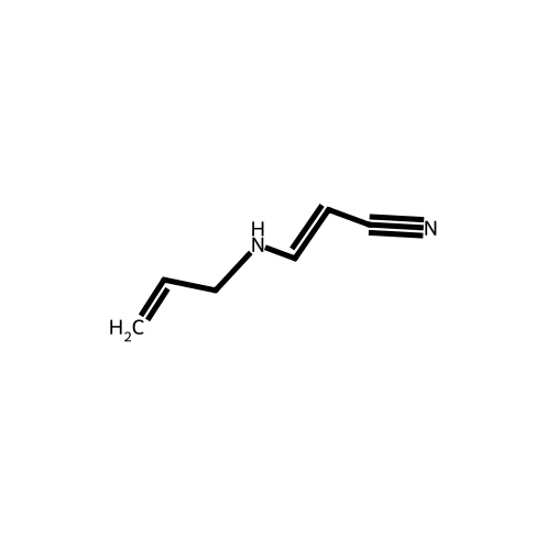 C=CCNC=CC#N